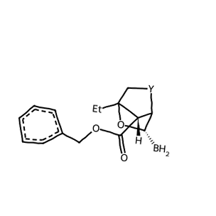 B[C@@H]1OC2(CC)[CH2][Y][CH]1[C@@H]2C(=O)OCc1ccccc1